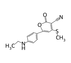 CCNc1ccc(-c2cc(SC)c(C#N)c(=O)o2)cc1